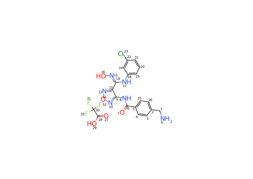 NCc1ccc(C(=O)Nc2nonc2/C(=N\O)Nc2cccc(Cl)c2)cc1.O=C(O)C(F)(F)F